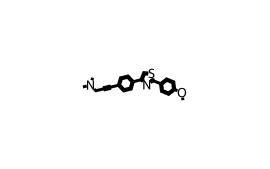 COc1ccc(-c2nc(-c3ccc(C#CCN(C)C)cc3)cs2)cc1